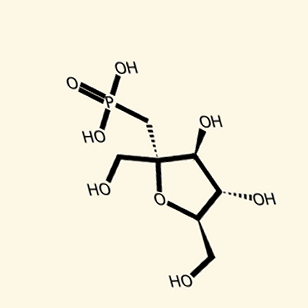 O=P(O)(O)C[C@@]1(CO)O[C@H](CO)[C@@H](O)[C@@H]1O